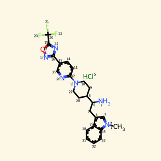 Cl.Cn1cc(CC(N)C2CCN(c3ccc(-c4noc(C(F)(F)F)n4)cn3)CC2)c2ccccc21